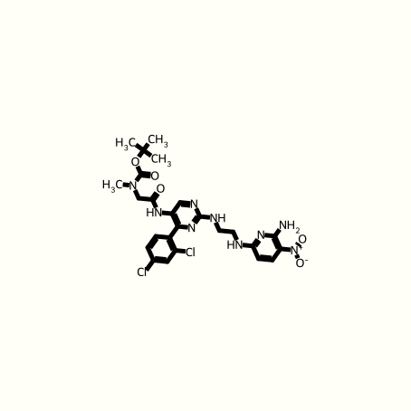 CN(CC(=O)Nc1cnc(NCCNc2ccc([N+](=O)[O-])c(N)n2)nc1-c1ccc(Cl)cc1Cl)C(=O)OC(C)(C)C